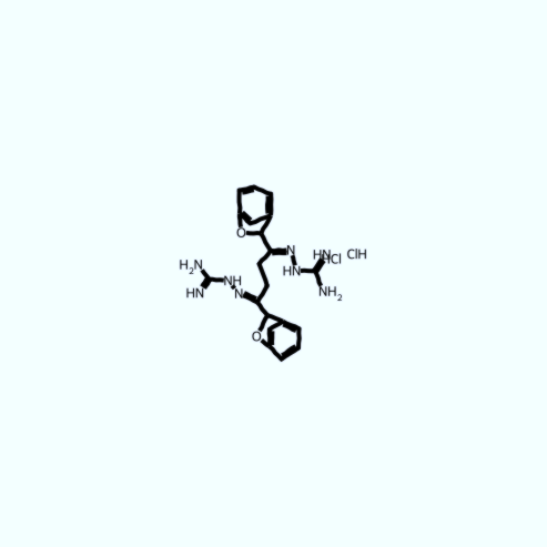 Cl.Cl.N=C(N)NN=C(CCC(=NNC(=N)N)C1Oc2cccc1c2)C1Oc2cccc1c2